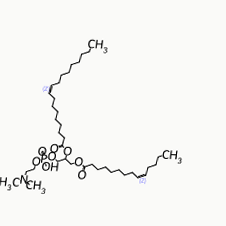 CCCC/C=C\CCCCCCCC(=O)OCC(COP(=O)(O)OCCN(C)C)OC(=O)CCCCCCC/C=C\CCCCCCCC